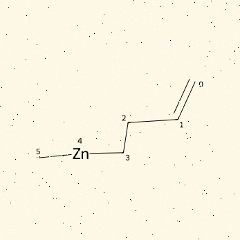 C=CC[CH2][Zn][CH3]